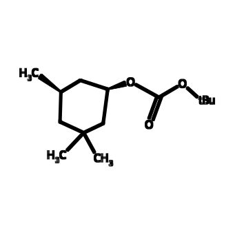 C[C@H]1C[C@@H](OC(=O)OC(C)(C)C)CC(C)(C)C1